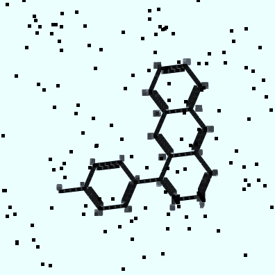 Cc1ccc(-c2nncc3cc4ccccc4cc23)cc1